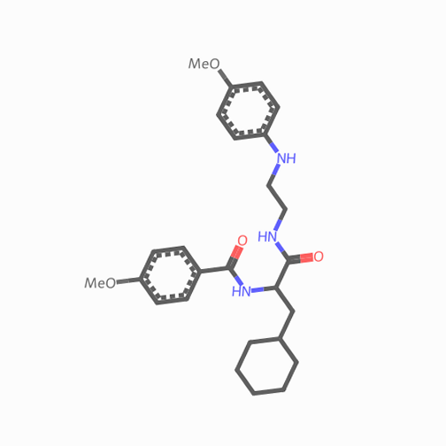 COc1ccc(NCCNC(=O)C(CC2CCCCC2)NC(=O)c2ccc(OC)cc2)cc1